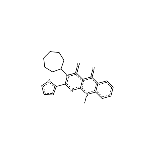 Cn1c2ccccc2c(=O)c2c(=O)n(C3CCCCCC3)c(-c3cccs3)nc21